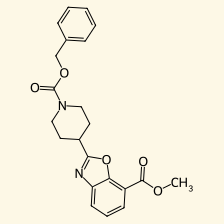 COC(=O)c1cccc2nc(C3CCN(C(=O)OCc4ccccc4)CC3)oc12